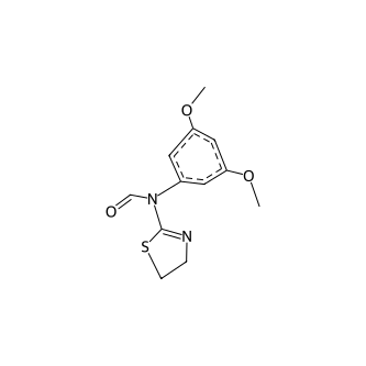 COc1cc(OC)cc(N(C=O)C2=NCCS2)c1